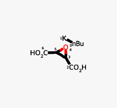 CCC[CH2][K].O=C(O)C1OC1C(=O)O